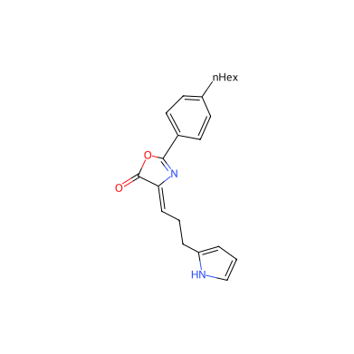 CCCCCCc1ccc(C2=N/C(=C\CCc3ccc[nH]3)C(=O)O2)cc1